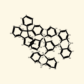 c1ccc(C2(c3cccc(S(c4ccccc4)(c4ccccc4)c4cc(N5c6ccccc6Oc6ccccc65)cc(N5c6ccccc6Oc6ccccc65)c4)c3)c3ccccc3-c3ccccc32)cc1